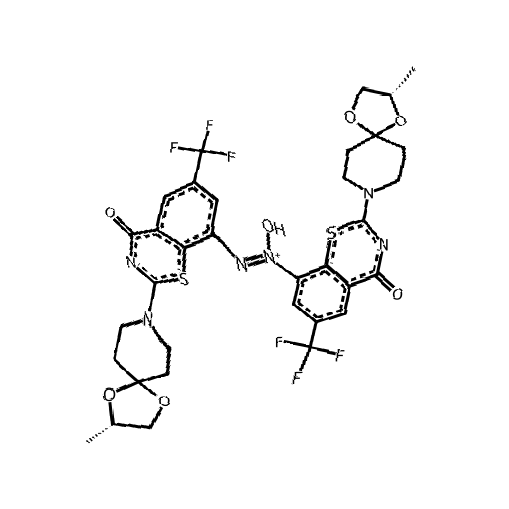 C[C@H]1COC2(CCN(c3nc(=O)c4cc(C(F)(F)F)cc(/N=[N+](\O)c5cc(C(F)(F)F)cc6c(=O)nc(N7CCC8(CC7)OC[C@H](C)O8)sc56)c4s3)CC2)O1